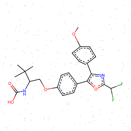 COc1ccc(-c2nc(C(F)F)oc2-c2ccc(OCC(NC(=O)O)C(C)(C)C)cc2)cc1